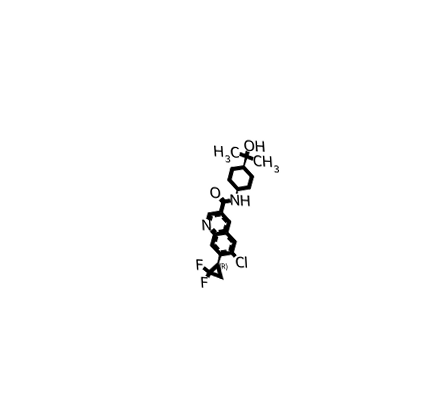 CC(C)(O)[C@H]1CC[C@H](NC(=O)c2cnc3cc([C@H]4CC4(F)F)c(Cl)cc3c2)CC1